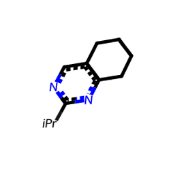 CC(C)c1ncc2c(n1)CCCC2